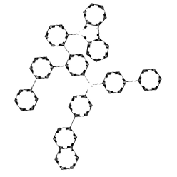 c1ccc(-c2ccc(N(c3ccc(-c4ccc5ccccc5c4)cc3)c3ccc(-c4ccccc4-n4c5ccccc5c5ccccc54)c(-c4cccc(-c5ccccc5)c4)c3)cc2)cc1